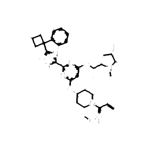 C=CC(=O)N1CC[C@H](Oc2cc(O[C@@H](C)[C@@H]3C[C@@H](F)CN3C)nc(-c3noc(C4(c5ccccc5)CCC4)n3)n2)C[C@H]1CC#N